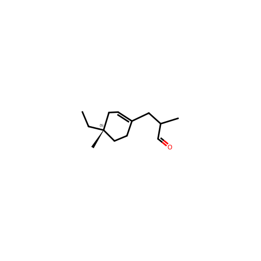 CC[C@]1(C)CC=C(CC(C)C=O)CC1